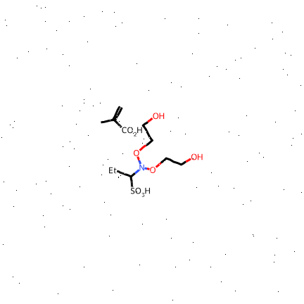 C=C(C)C(=O)O.CCC(N(OCCO)OCCO)S(=O)(=O)O